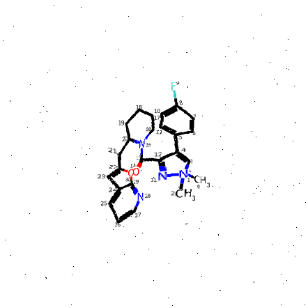 C[N+]1(C)C=C(c2ccc(F)cc2)C(C(=O)N2CCCCC2Cc2cc3cccnc3o2)=N1